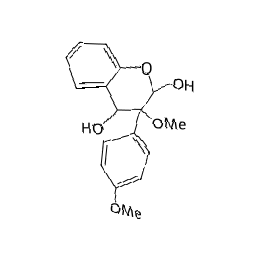 COc1ccc(C2(OC)C(O)Oc3ccccc3C2O)cc1